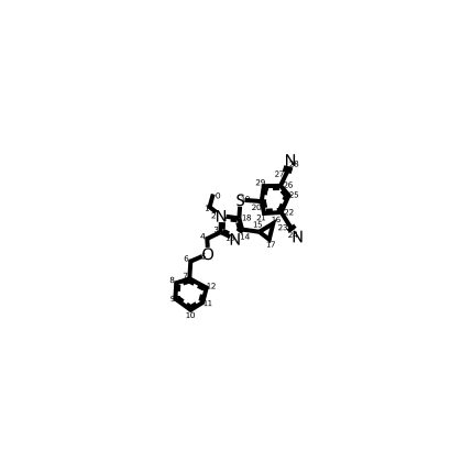 CCn1c(COCc2ccccc2)nc(C2CC2)c1Sc1cc(C#N)cc(C#N)c1